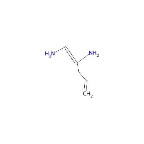 C=CC/C(N)=C\N